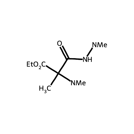 CCOC(=O)C(C)(NC)C(=O)NNC